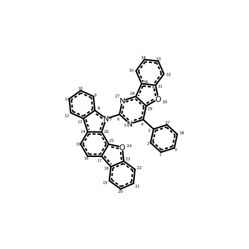 c1ccc(-c2nc(-n3c4ccccc4c4ccc5c6ccccc6oc5c43)nc3c2oc2ccccc23)cc1